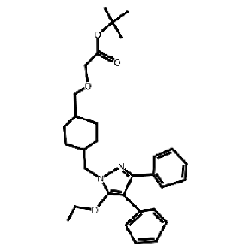 CCOc1c(-c2ccccc2)c(-c2ccccc2)nn1CC1CCC(COCC(=O)OC(C)(C)C)CC1